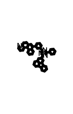 c1ccc(-c2nc(-c3cccc(-c4cc5ccc6ncccc6c5c5ccccc45)c3)nc(-c3cc4c5c(cccc5c3)-c3ccccc3-4)n2)cc1